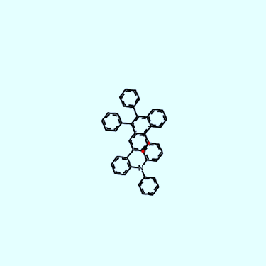 c1ccc(-c2c(-c3ccccc3)c3cc(-c4ccccc4N(c4ccccc4)c4ccccc4)ccc3c3ccccc23)cc1